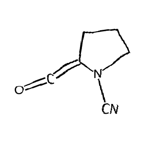 N#CN1CCCC1=C=O